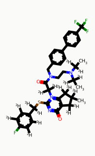 [2H]c1c([2H])c(C([2H])([2H])Sc2nc(=O)c3c(n2C([2H])([2H])C(=O)N(CCN(C([2H])([2H])C)C([2H])([2H])C)Cc2ccc(-c4ccc(C(F)(F)F)cc4)cc2)C([2H])([2H])C([2H])(C)C3([2H])[2H])c([2H])c([2H])c1F